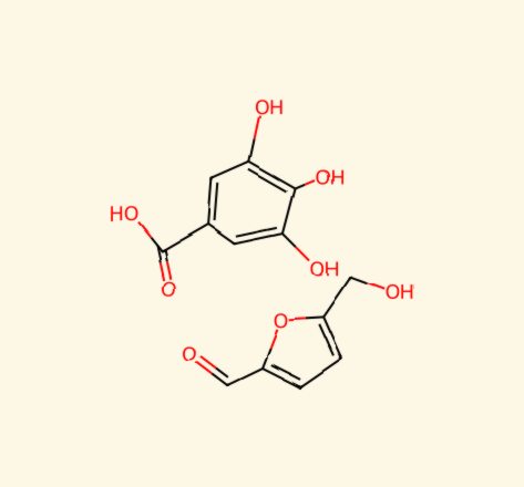 O=C(O)c1cc(O)c(O)c(O)c1.O=Cc1ccc(CO)o1